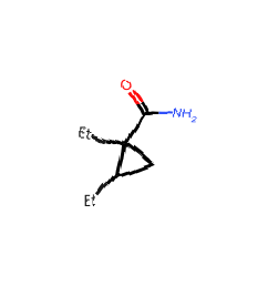 CCC1CC1(CC)C(N)=O